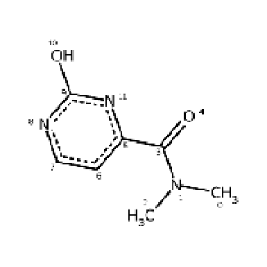 CN(C)C(=O)c1ccnc(O)n1